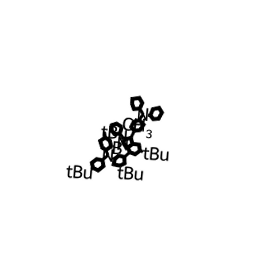 Cc1ccccc1-c1c(-c2ccc(N(c3ccccc3)c3ccccc3)cc2)c2cc(C(C)(C)C)cc3c2n1B1c2cc(C(C)(C)C)ccc2N(c2ccc(C(C)(C)C)cc2)c2cc(C(C)(C)C)cc-3c21